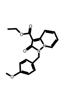 CCOC(=O)c1c(=O)n(Cc2ccc(OC)cc2)n2ccccc12